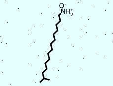 CC(C)CCCCCCCCCCCCC[NH2+][O-]